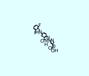 O=C(O)Oc1cnn(-c2nc3ccc(NCc4c(F)cccc4F)cc3c(=O)[nH]2)c1